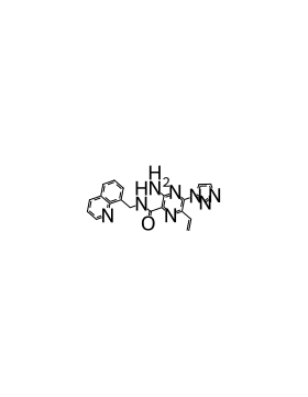 C=Cc1nc(C(=O)NCc2cccc3cccnc23)c(N)nc1-n1ccnn1